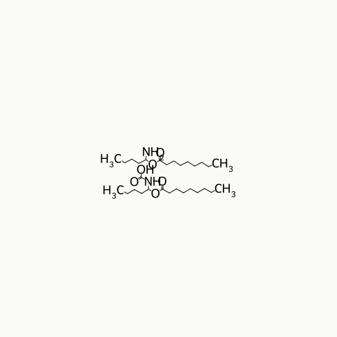 CCCCCCCCC(=O)OC(CCCC)NC(=O)O.CCCCCCCCC(=O)OC(N)CCCC